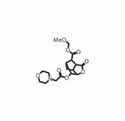 COCOC(=O)C1C2CC3C(OC(=O)C31)C2OC(=O)CN1CCOCC1